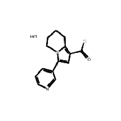 Cl.O=C(Cl)c1cc(-c2cccnc2)n2c1CCCC2